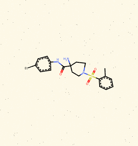 CCc1ccc(NC(=O)C2(N)CCN(S(=O)(=O)c3ccccc3C)CC2)cc1